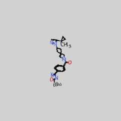 CC(C)(C)c1nc(-c2ccc(C(=O)N3CC4(CC(n5nccc5C5(C)CC5)C4)C3)cc2)no1